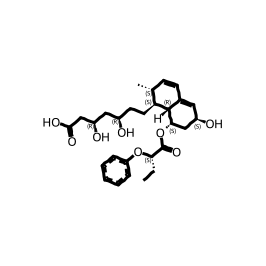 CC[C@H](Oc1ccccc1)C(=O)O[C@H]1C[C@H](O)C=C2C=C[C@@H](C)[C@H](CC[C@@H](O)C[C@@H](O)CC(=O)O)[C@H]21